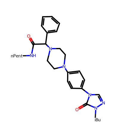 CCCCCNC(=O)C(c1ccccc1)N1CCN(c2ccc(-n3cnn(C(C)CC)c3=O)cc2)CC1